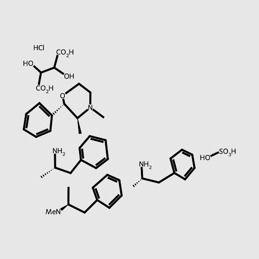 CN[C@@H](C)Cc1ccccc1.C[C@H](N)Cc1ccccc1.C[C@H](N)Cc1ccccc1.C[C@H]1[C@H](c2ccccc2)OCCN1C.Cl.O=C(O)C(O)C(O)C(=O)O.O=S(=O)(O)O